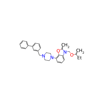 C=C(CC)OCN1C(=C)Oc2c(N3CCN(Cc4cccc(-c5ccccc5)c4)CC3)cccc21